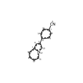 N#Cc1ccc(-c2cc3ccccn3c2)cc1